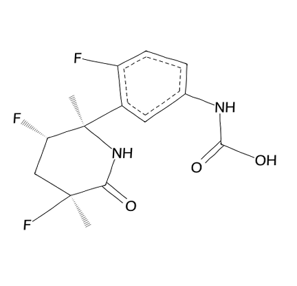 C[C@]1(F)C[C@H](F)[C@@](C)(c2cc(NC(=O)O)ccc2F)NC1=O